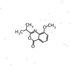 COc1cccc2c(=O)oc(C(C)C)nc12